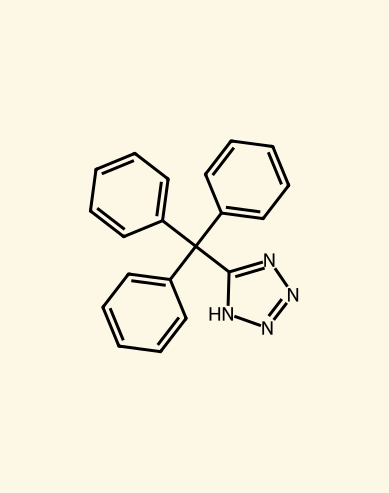 c1ccc(C(c2ccccc2)(c2ccccc2)c2nnn[nH]2)cc1